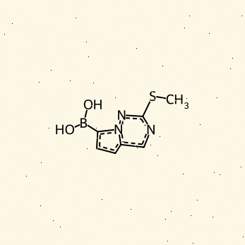 CSc1ncc2ccc(B(O)O)n2n1